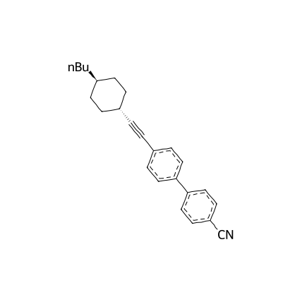 CCCC[C@H]1CC[C@H](C#Cc2ccc(-c3ccc(C#N)cc3)cc2)CC1